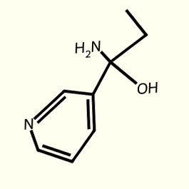 CCC(N)(O)c1cccnc1